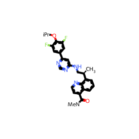 CNC(=O)c1ccnc2c([C@H](C)CNc3cc(-c4cc(F)c(OC(C)C)c(F)c4)ncn3)cccc12